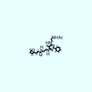 CC(=O)NCCNc1nc(-c2ccccc2)nc(NCCNC(=O)C=Cc2ccco2)c1C